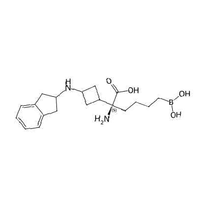 N[C@](CCCCB(O)O)(C(=O)O)C1CC(NC2Cc3ccccc3C2)C1